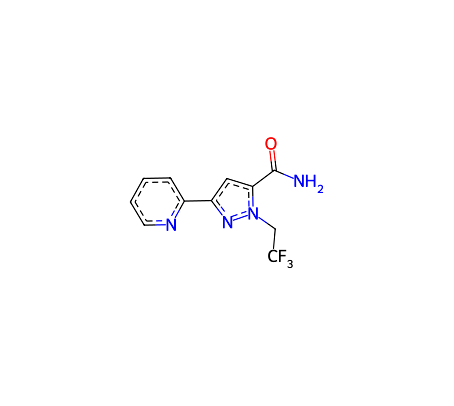 NC(=O)c1cc(-c2ccccn2)nn1CC(F)(F)F